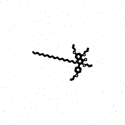 C=CCOc1ccc(-c2c(OCC=C)c(=O)c3c(OCC=C)cc(OCC=C)cc3n2CCCCCCCCCCCCCCCCCC)cc1